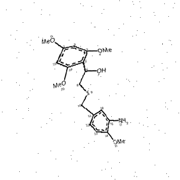 COc1cc(OC)c(C(O)CSCc2ccc(OC)c(N)c2)c(OC)c1